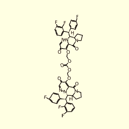 O=C(OCOc1c2n(ncc1=O)[C@@H]([C@H](c1ccc(F)cc1)c1cccc(F)c1F)[C@H]1CCCN1C2=O)OCOc1c2n(ncc1=O)[C@@H]([C@H](c1ccc(F)cc1)c1cccc(F)c1F)[C@H]1CCCN1C2=O